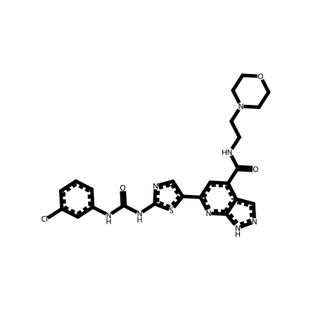 O=C(Nc1cccc(Cl)c1)Nc1ncc(-c2cc(C(=O)NCCN3CCOCC3)c3cn[nH]c3n2)s1